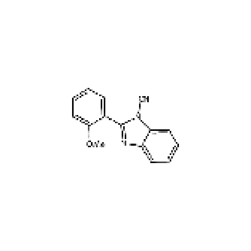 COc1ccccc1-c1nc2ccccc2n1C#N